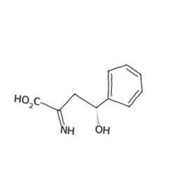 N=C(C[C@@H](O)c1ccccc1)C(=O)O